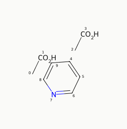 CC(=O)O.CC(=O)O.c1ccncc1